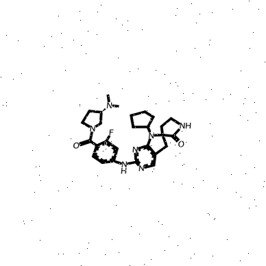 CN(C)[C@H]1CCN(C(=O)c2ccc(Nc3ncc4c(n3)N(C3CCCC3)C3(CCNC3=O)C4)cc2F)C1